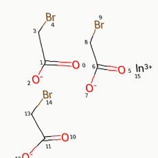 O=C([O-])CBr.O=C([O-])CBr.O=C([O-])CBr.[In+3]